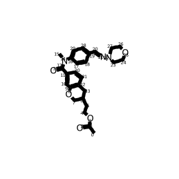 CC(=O)OCCC1COc2cc(C(=O)N(C)c3ccc(C=NN4CCOCC4)cc3)ccc2C1